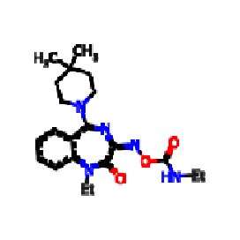 CCNC(=O)ON=c1nc(N2CCC(C)(C)CC2)c2ccccc2n(CC)c1=O